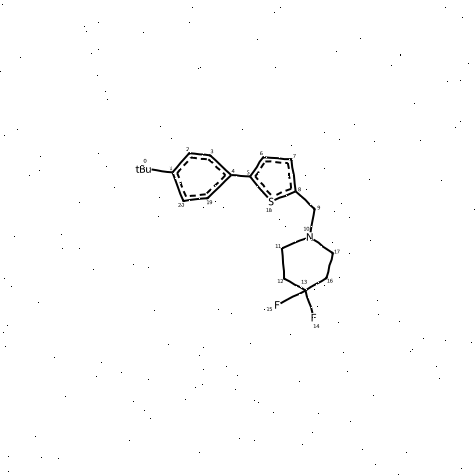 CC(C)(C)c1ccc(-c2ccc(CN3CCC(F)(F)CC3)s2)cc1